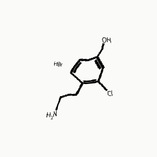 Br.NCCc1ccc(O)cc1Cl